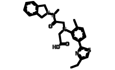 CCc1csc(-c2ccc(C)c(N(CC(=O)O)CC(=O)N(C)N3Cc4ccccc4C3)c2)n1